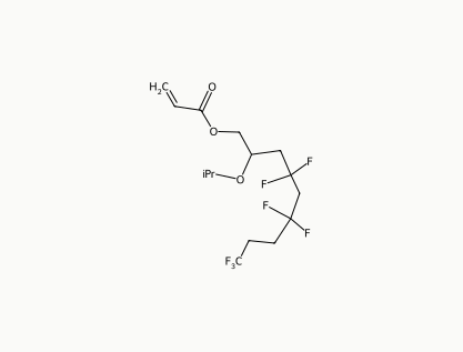 C=CC(=O)OCC(CC(F)(F)CC(F)(F)CCC(F)(F)F)OC(C)C